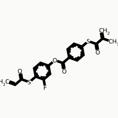 C=CC(=O)Sc1ccc(OC(=O)c2ccc(SC(=O)C(=C)C)cc2)cc1F